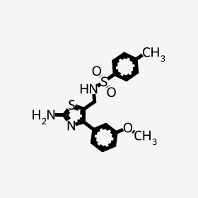 COc1cccc(-c2nc(N)sc2CNS(=O)(=O)c2ccc(C)cc2)c1